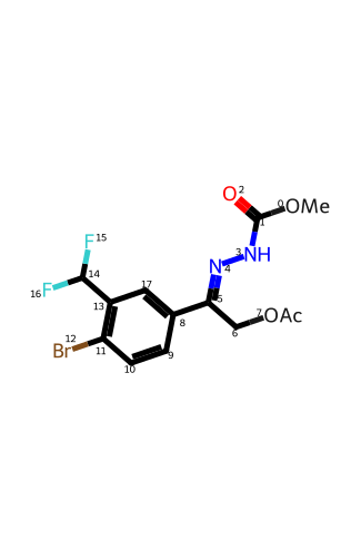 COC(=O)NN=C(COC(C)=O)c1ccc(Br)c(C(F)F)c1